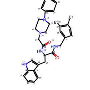 CCc1ccc(CNC(=O)C(Cc2c[nH]c3ccccc23)NC(=O)CN2CCN(c3ccccc3)CC2)cc1CC